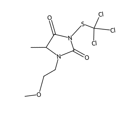 COCCN1C(=O)N(SC(Cl)(Cl)Cl)C(=O)C1C